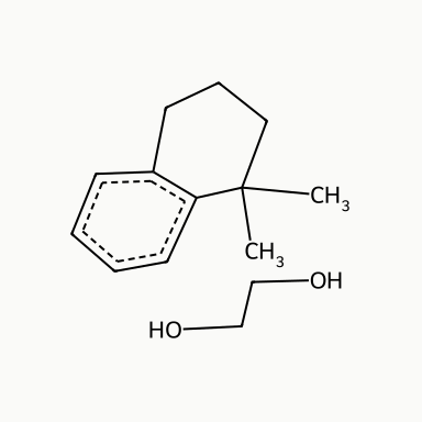 CC1(C)CCCc2ccccc21.OCCO